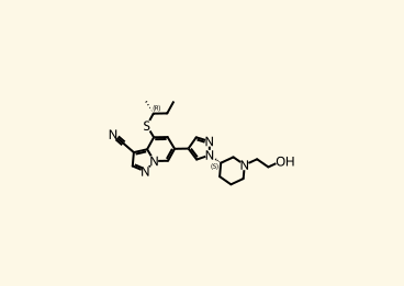 CC[C@@H](C)Sc1cc(-c2cnn([C@H]3CCCN(CCO)C3)c2)cn2ncc(C#N)c12